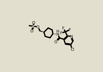 CS(=O)(=O)OC[C@H]1CC[C@H](NC(=O)c2cc(Cl)cnc2C(F)(F)F)CC1